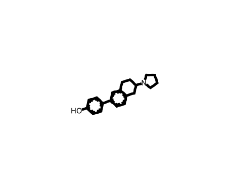 Oc1ccc(-c2ccc3c(c2)CCC(N2CCCC2)C3)cc1